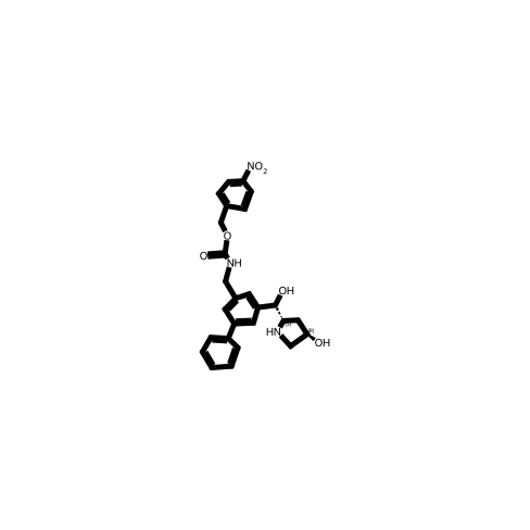 O=C(NCc1cc(-c2ccccc2)cc(C(O)[C@@H]2C[C@@H](O)CN2)c1)OCc1ccc([N+](=O)[O-])cc1